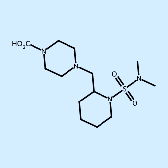 CN(C)S(=O)(=O)N1CCCCC1CN1CCN(C(=O)O)CC1